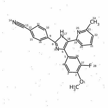 COc1ccc(-c2nc(-c3ccc(C#N)cc3)[nH]c2-c2cccc(C)n2)cc1F